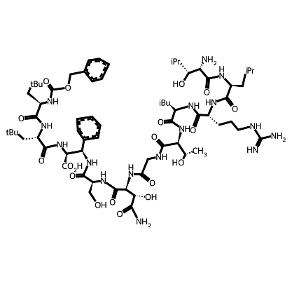 CC[C@H](C)C(NC(=O)[C@@H](CCCNC(=N)N)NC(=O)[C@H](CC(C)C)NC(=O)[C@@H](N)[C@H](O)C(C)C)C(=O)N[C@H](C(=O)NCC(=O)N[C@H](C(=O)N[C@@H](CO)C(=O)N[C@H](c1ccccc1)[C@H](NC(=O)[C@H](CC(C)(C)C)NC(=O)[C@@H](CC(C)(C)C)NC(=O)OCc1ccccc1)C(=O)O)[C@H](O)C(N)=O)[C@H](C)O